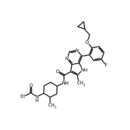 CCC(=O)NC1CCC(NC(=O)c2c(C)[nH]c3c(-c4cc(F)ccc4OCC4CC4)ncnc23)CC1C